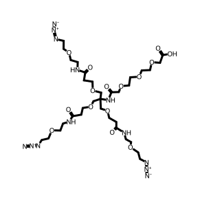 [N-]=[N+]=NCCOCCNC(=O)CCOCC(COCCC(=O)NCCOCCN=[N+]=[N-])(COCCC(=O)NCCOCCN=[N+]=[N-])NC(=O)COCCOCCOCC(=O)O